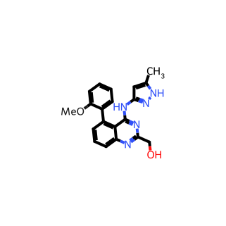 COc1ccccc1-c1cccc2nc(CO)nc(Nc3cc(C)[nH]n3)c12